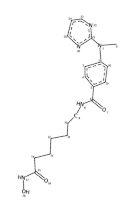 CN(c1ccc(C(=O)NCCCCCCC(=O)NO)cc1)c1ncccn1